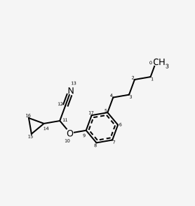 CCCCCc1cccc(OC(C#N)C2CC2)c1